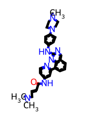 CN(C)CC=CC(=O)Nc1ccnc(-c2cccc3cnc(Nc4ccc(N5CCN(C)CC5)cc4)nc23)c1